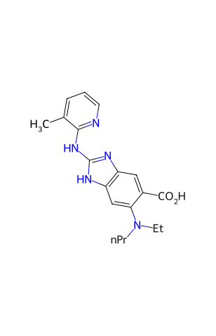 CCCN(CC)c1cc2[nH]c(Nc3ncccc3C)nc2cc1C(=O)O